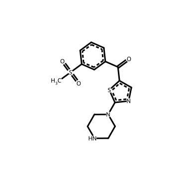 CS(=O)(=O)c1cccc(C(=O)c2cnc(N3CCNCC3)s2)c1